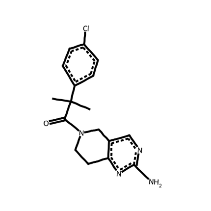 CC(C)(C(=O)N1CCc2nc(N)ncc2C1)c1ccc(Cl)cc1